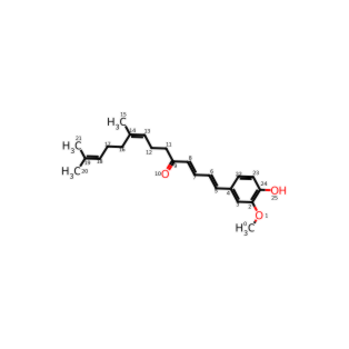 COc1cc(C=CC=CC(=O)CCC=C(C)CCC=C(C)C)ccc1O